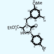 CCOC(=O)C1NN(c2ccc(Br)cc2)C(=O)N1Cc1cc(F)cc(OC)c1